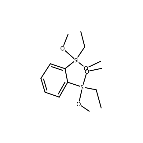 CC[Si](OC)(OC)c1ccccc1[Si](CC)(OC)OC